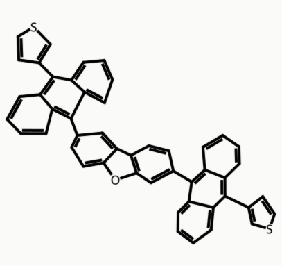 c1ccc2c(-c3ccc4c(c3)oc3ccc(-c5c6ccccc6c(-c6ccsc6)c6ccccc56)cc34)c3ccccc3c(-c3ccsc3)c2c1